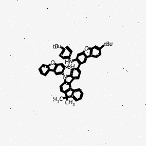 CC(C)(C)c1ccc(Nc2cc3oc4cc(C(C)(C)C)ccc4c3cc2-c2ccc3c4c5c(ccc4n4c3c2Bc2cc3oc6ccccc6c3cc2-4)C(C)(C)c2ccccc2-5)cc1